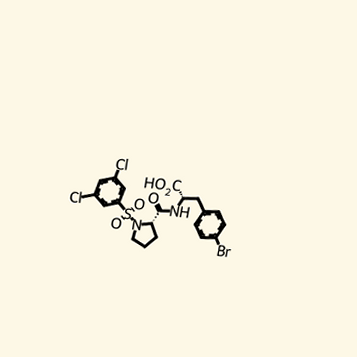 O=C(O)[C@H](Cc1ccc(Br)cc1)NC(=O)[C@@H]1CCCN1S(=O)(=O)c1cc(Cl)cc(Cl)c1